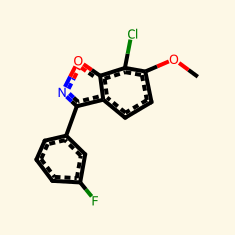 COc1ccc2c(-c3cccc(F)c3)noc2c1Cl